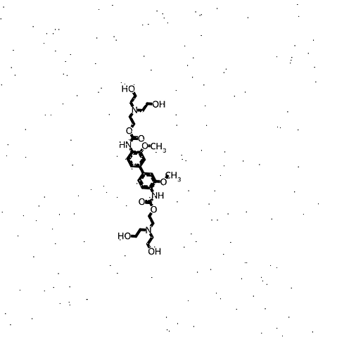 COc1cc(-c2ccc(NC(=O)OCCN(CCO)CCO)c(OC)c2)ccc1NC(=O)OCCN(CCO)CCO